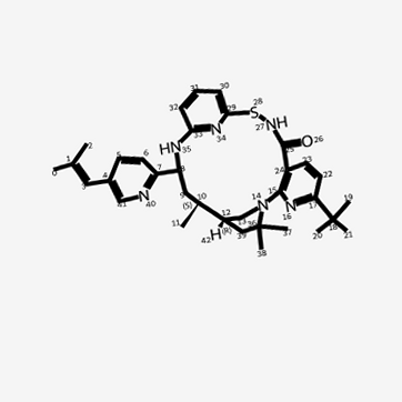 CC(C)=Cc1ccc(C2C[C@H](C)[C@@H]3CN(c4nc(C(C)(C)C)ccc4C(=O)NSc4cccc(n4)N2)C(C)(C)C3)nc1